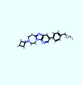 CCc1ccc(-c2cnc3c(c2)nc2n3CCN(C3CCC3)CC2)cc1